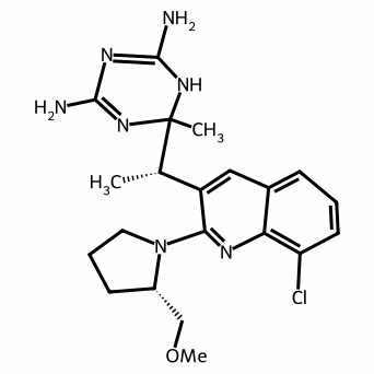 COC[C@@H]1CCCN1c1nc2c(Cl)cccc2cc1[C@H](C)C1(C)N=C(N)N=C(N)N1